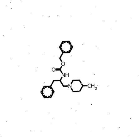 [CH2]C1CCN(CC(Cc2ccccc2)NC(=O)OCc2ccccc2)CC1